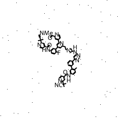 C#CC(C)(C)c1cc(C(=O)Nc2ccc(F)c(-c3cc(CCN4CC(Nc5cc(-c6cccc(-c7cc(NC(=O)c8ccnc(C(C)(C)C#N)c8)ccc7C)c6)ncn5)C4)nc(-c4ccnc(C(=O)NC)c4)c3)c2)ccn1